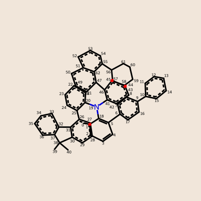 CC1CC=CC(c2ccc(-c3ccccc3)cc2)=C1N(c1ccccc1-c1cccc2c1-c1ccccc1C2(C)C)c1ccccc1-c1cccc2cccc(C3CCCCC3)c12